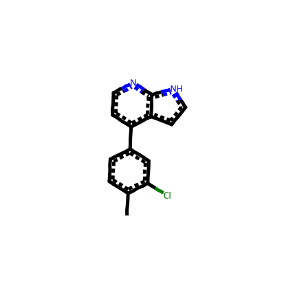 Cc1ccc(-c2ccnc3[nH]ccc23)cc1Cl